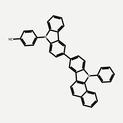 N#Cc1ccc(-n2c3ccccc3c3cc(-c4ccc5c(c4)c4ccc6ccccc6c4n5-c4ccccc4)ccc32)cc1